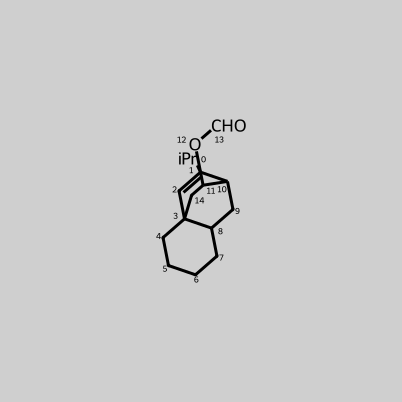 CC(C)C1=CC23CCCCC2CC1C(OC=O)C3